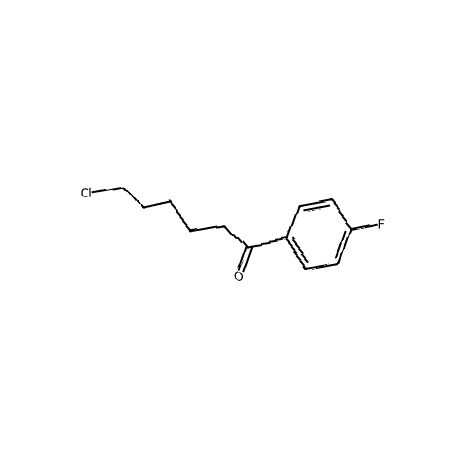 O=C(CCCCCCl)c1ccc(F)cc1